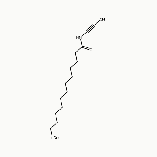 CC#CNC(=O)CCCCCCCCCCCCCCCCCCCCC